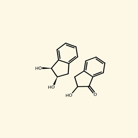 O=C1c2ccccc2CC1O.O[C@@H]1Cc2ccccc2[C@@H]1O